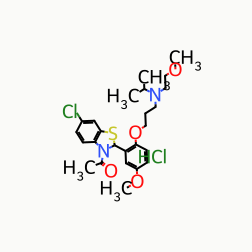 COCCN(CCCOc1ccc(OC)cc1C1Sc2cc(Cl)ccc2N1C(C)=O)C(C)C.Cl